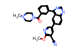 COc1ncc(-c2ccc3ncnc(-c4cccc(C(=O)N5CCN(C)CC5)c4)c3c2)cc1C#N